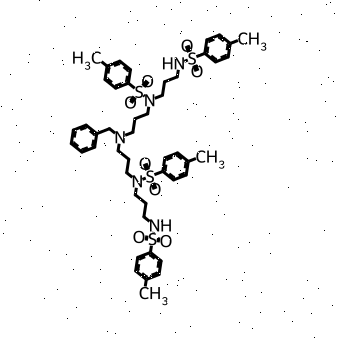 Cc1ccc(S(=O)(=O)NCCCN(CCCN(CCCN(CCCNS(=O)(=O)c2ccc(C)cc2)S(=O)(=O)c2ccc(C)cc2)Cc2ccccc2)S(=O)(=O)c2ccc(C)cc2)cc1